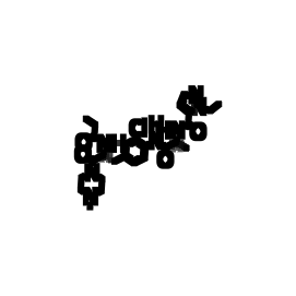 CCC(=O)N[C@H](Cc1ccc(NC(=O)[C@H](C)NC(=O)c2ccnn2CC)c(Cl)c1)C(=O)N1CCN(C)CC1